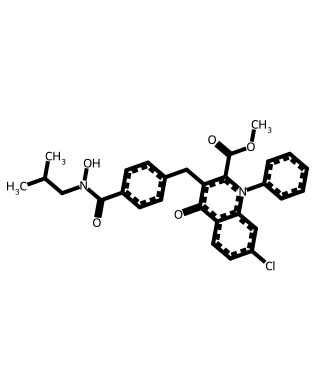 COC(=O)c1c(Cc2ccc(C(=O)N(O)CC(C)C)cc2)c(=O)c2ccc(Cl)cc2n1-c1ccccc1